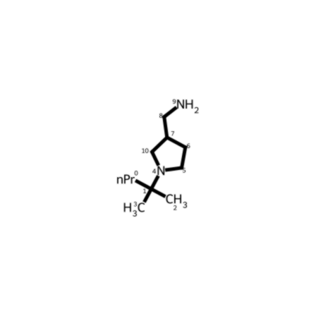 CCCC(C)(C)N1CCC(CN)C1